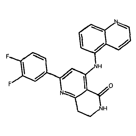 O=C1NCCc2nc(-c3ccc(F)c(F)c3)cc(Nc3cccc4ncccc34)c21